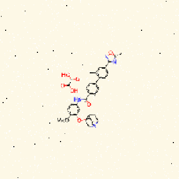 COc1ccc(NC(=O)c2ccc(-c3ccc(-c4noc(C)n4)cc3C)cc2)cc1OC1CN2CCC1CC2.O=C(O)C(=O)O